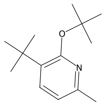 Cc1ccc(C(C)(C)C)c(OC(C)(C)C)n1